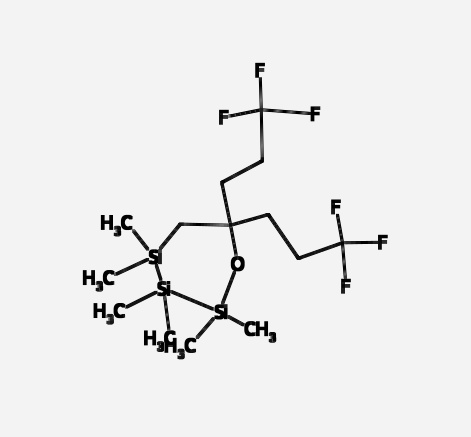 C[Si]1(C)CC(CCC(F)(F)F)(CCC(F)(F)F)O[Si](C)(C)[Si]1(C)C